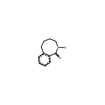 CCN1CCCCc2ccccc2C1=O